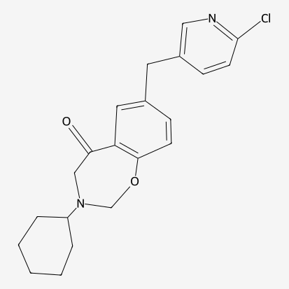 O=C1CN(C2CCCCC2)COc2ccc(Cc3ccc(Cl)nc3)cc21